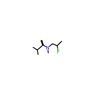 C=C(C(C)C)N(C)CC(C)F